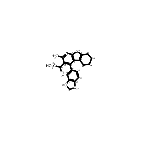 Cc1nc2sc3c(c2c(-c2ccc4c(c2)OCO4)c1C(C)C(=O)O)CCCC3